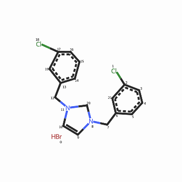 Br.Clc1cccc(CN2C=CN(Cc3cccc(Cl)c3)C2)c1